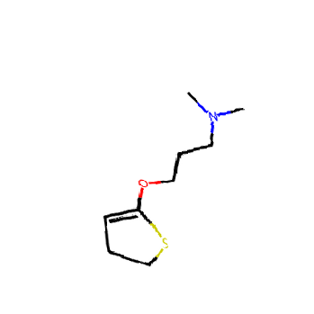 CN(C)CCCOC1=CCCS1